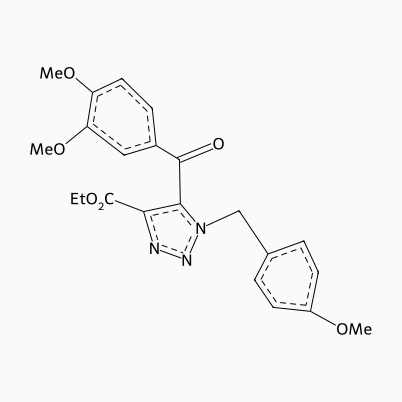 CCOC(=O)c1nnn(Cc2ccc(OC)cc2)c1C(=O)c1ccc(OC)c(OC)c1